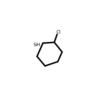 ClC1CCCCC1.[SiH4]